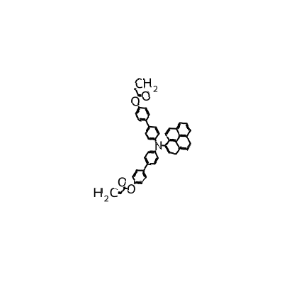 C=CC(=O)Oc1ccc(-c2ccc(N(C3=CCC4=CCc5cccc6ccc3c4c56)c3ccc(-c4ccc(OC(=O)C=C)cc4)cc3)cc2)cc1